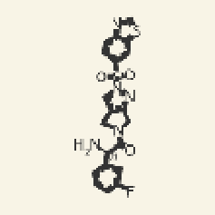 N[C@@H](C(=O)N1Cc2cn(S(=O)(=O)c3ccc4ncsc4c3)nc2C1)c1cccc(F)c1